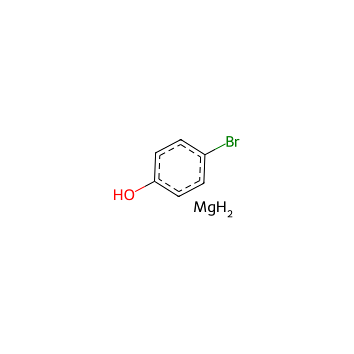 Oc1ccc(Br)cc1.[MgH2]